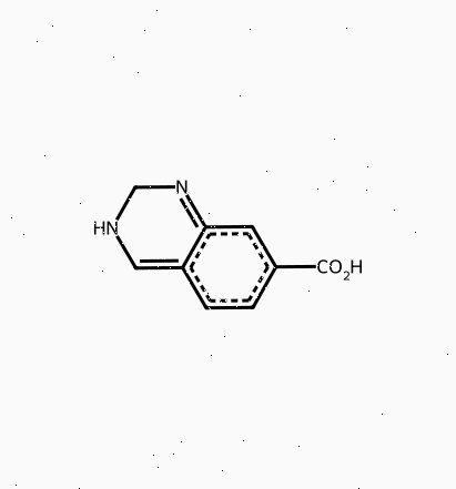 O=C(O)c1ccc2c(c1)=NCNC=2